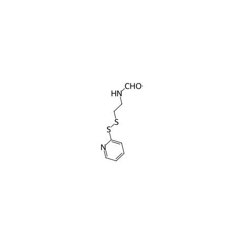 O=[C]NCCSSc1ccccn1